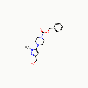 Cn1nc(CO)cc1N1CCN(C(=O)OCc2ccccc2)CC1